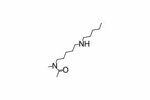 CCCCCNCCCCCN(C)C(C)=O